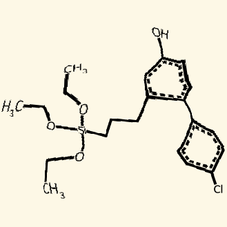 CCO[Si](CCCc1cc(O)ccc1-c1ccc(Cl)cc1)(OCC)OCC